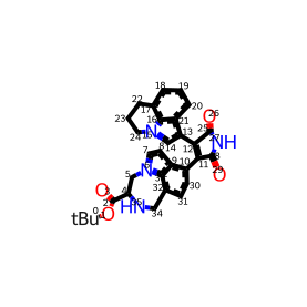 CC(C)(C)OC(=O)C1Cn2ccc3c(C4=C(c5cn6c7c(cccc57)CCC6)C(=O)NC4=O)ccc(c32)CN1